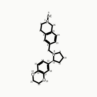 CC(=O)N1CCc2cc(CN3CCC[C@H]3c3ccc4c(c3)OCCO4)ccc2C1